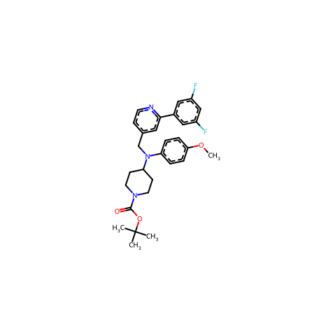 COc1ccc(N(Cc2ccnc(-c3cc(F)cc(F)c3)c2)C2CCN(C(=O)OC(C)(C)C)CC2)cc1